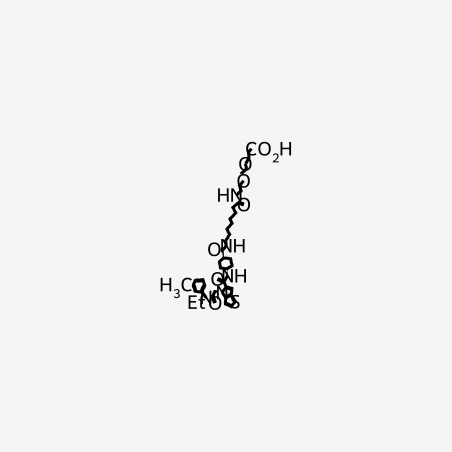 CCN(C(=O)Cn1c(C(=O)N[C@H]2CC[C@H](C(=O)NCCCCCCCC(=O)NCCOCCOCCC(=O)O)CC2)cc2sccc21)c1cccc(C)c1